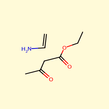 C=CN.CCOC(=O)CC(C)=O